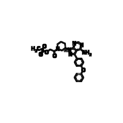 CS(=O)(=O)OCC(=O)N1CCC[C@@H](n2nc(-c3ccc(Oc4ccccc4)cc3)c3c(N)ncnc32)C1